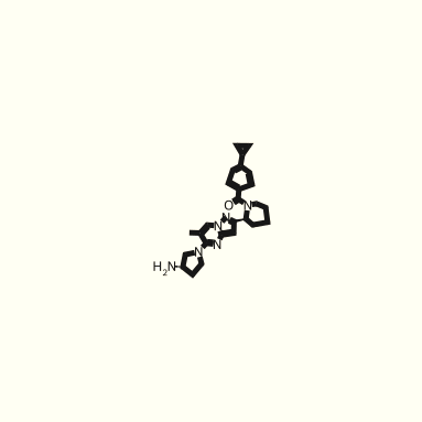 Cc1cn2nc([C@@H]3CCCCN3C(=O)c3ccc(C4CC4)cc3)cc2nc1N1CC[C@H](N)C1